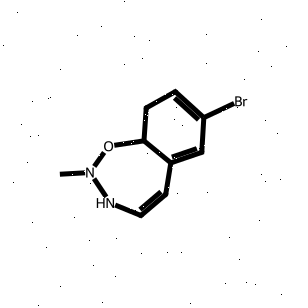 CN1NC=CC2=CC(Br)=CCC2O1